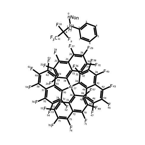 CCCCCCCCC[NH+](c1ccccc1)C(F)(F)C(F)(F)F.Fc1cc2[c]([Al-]([c]3c(F)c(F)c(F)c4c(F)c(F)c(F)cc34)([c]3c(F)c(F)c(F)c4c(F)c(F)c(F)cc34)[c]3c(F)c(F)c(F)c4c(F)c(F)c(F)cc34)c(F)c(F)c(F)c2c(F)c1F